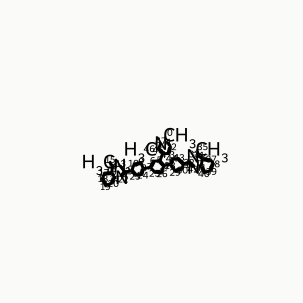 Cc1ccc(-c2cc(-c3ccc(-c4nc(C)c5ccccc5n4)cc3)ccc2-c2ccc(-c3nc(C)c4ccccc4n3)cc2)c(C)n1